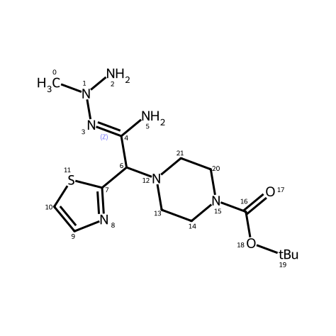 CN(N)/N=C(\N)C(c1nccs1)N1CCN(C(=O)OC(C)(C)C)CC1